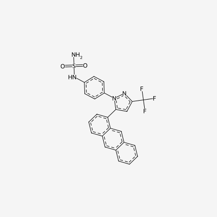 NS(=O)(=O)Nc1ccc(-n2nc(C(F)(F)F)cc2-c2cccc3cc4ccccc4cc23)cc1